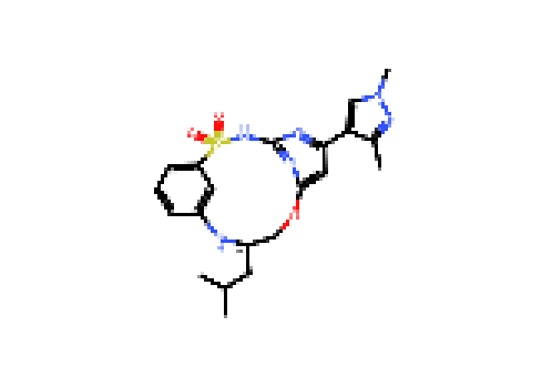 Cc1nn(C)cc1-c1cc2nc(n1)NS(=O)(=O)c1cccc(c1)N[C@H](CC(C)C)CO2